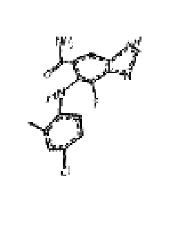 Cc1cc(Cl)ccc1Nc1c(C(N)=O)cc2[nH]cnc2c1F